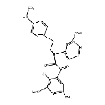 COc1cc(OC)c(Cl)c(-c2cc3cnc(SC)nc3n(CCc3ccc(NC(=O)O)cn3)c2=O)c1